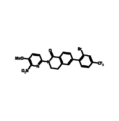 COc1ccc(N2CCc3cc(-c4ccc(C(F)(F)F)cc4Br)ccc3C2=O)nc1[N+](=O)[O-]